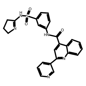 O=C(Nc1cccc(S(=O)(=O)NC2=NCCC2)c1)c1cc(-c2cccnc2)nc2ccccc12